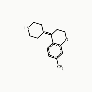 FC(F)(F)c1ccc2c(c1)OCCC2=C1CCNCC1